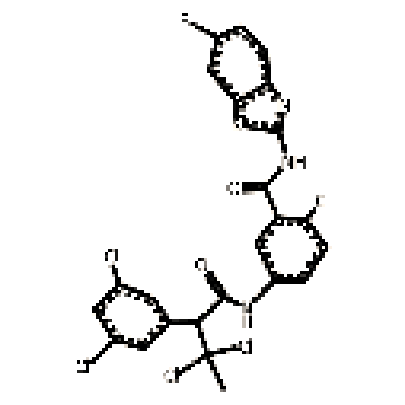 CC(Cl)(Cl)C(C(=O)Nc1ccc(Cl)c(C(=O)Nc2nc3ccc(F)cc3s2)c1)c1cc(Cl)cc(Cl)c1